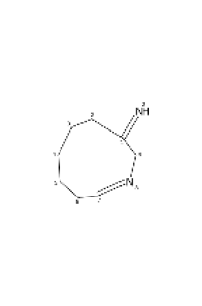 N=C1CCCCC/C=N\C1